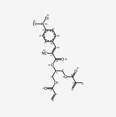 C=CC(=O)OCC(COC(=O)C(=C)C)OC(=O)/C(C#N)=C/c1ccc(N(CC)CC)cc1